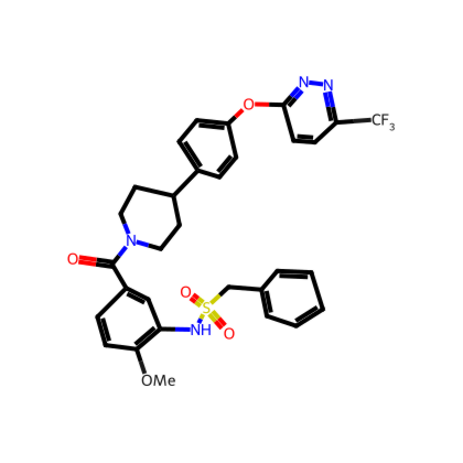 COc1ccc(C(=O)N2CCC(c3ccc(Oc4ccc(C(F)(F)F)nn4)cc3)CC2)cc1NS(=O)(=O)Cc1ccccc1